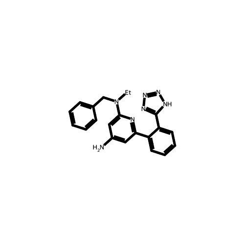 CCN(Cc1ccccc1)c1cc(N)cc(-c2ccccc2-c2nnn[nH]2)n1